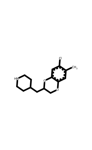 Cc1cc2c(cc1Cl)OC(CC1CCNCC1)CO2